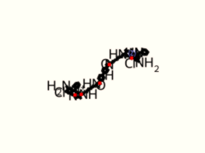 C=C1C=C(NCCCCCCNC(=O)c2ccc(-c3ccc(C(=O)NCCCCCCNc4cc5c(cc4C)nc4cc(Cl)c(N)cc4[n+]5-c4ccccc4)cc3)cc2)C(C)=C/C1=N/c1cc(Cl)c(N)cc1Nc1ccccc1